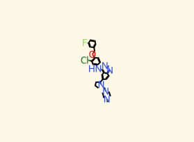 CN1CCN(CN2CCCC2c2ccc3ncnc(Nc4ccc(OCc5cccc(F)c5)c(Cl)c4)c3c2)CC1